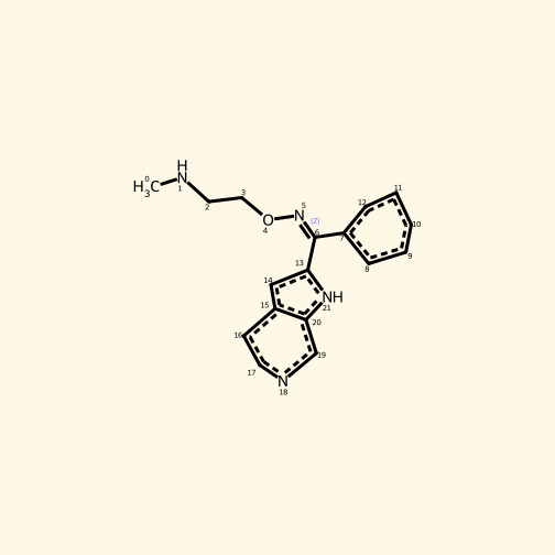 CNCCO/N=C(/c1ccccc1)c1cc2ccncc2[nH]1